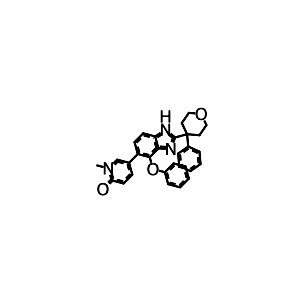 Cn1cc(-c2ccc3[nH]c(C4(c5ccccc5)CCOCC4)nc3c2Oc2ccccc2)ccc1=O